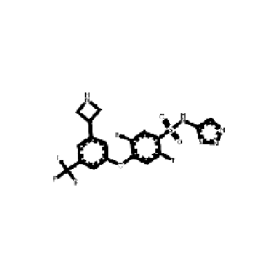 O=S(=O)(Nc1cnns1)c1cc(F)c(Oc2cc(C3CNC3)cc(C(F)(F)F)c2)cc1F